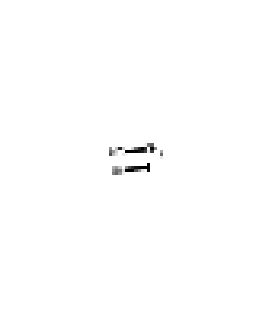 CC#N.CCI